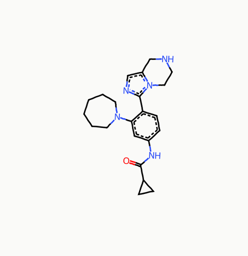 O=C(Nc1ccc(-c2ncc3n2CCNC3)c(N2CCCCCC2)c1)C1CC1